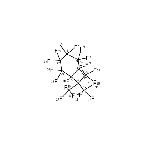 CC1(F)C(F)(F)C(F)(F)C(F)(C(C(F)(F)F)(C(F)(F)F)C(F)(F)F)C(F)(F)C1(F)F